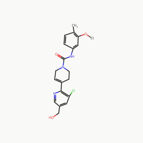 CCOc1cc(NC(=O)N2CC=C(c3ncc(CO)cc3Cl)CC2)ccc1C